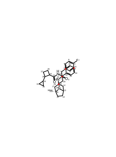 O=C(Cc1ccc(F)cc1)NC1CC2CC[C@@H](C1)N2CCC(NC(=O)C1CCC1C1CC1)c1ccccc1